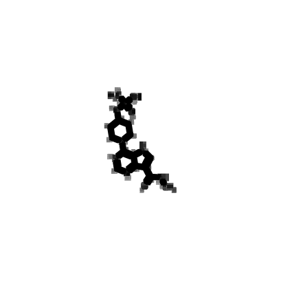 CNC(=O)c1c[nH]c2c(N3CCC(OP(C)(=O)O)CC3)ncnc12